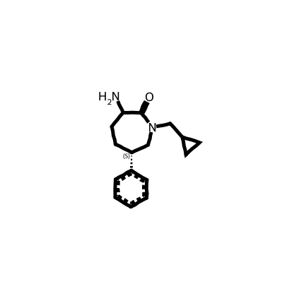 NC1CC[C@@H](c2ccccc2)CN(CC2CC2)C1=O